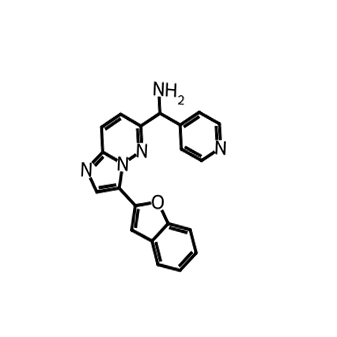 NC(c1ccncc1)c1ccc2ncc(-c3cc4ccccc4o3)n2n1